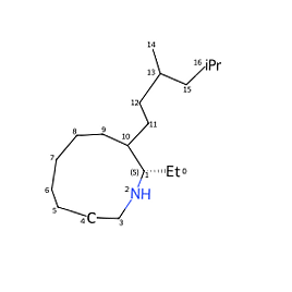 CC[C@@H]1NCCCCCCCC1CCC(C)CC(C)C